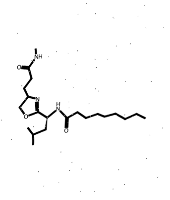 CCCCCCCCC(=O)N[C@@H](CC(C)C)C1=NC(CCC(=O)NC)CO1